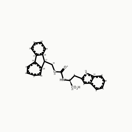 O=C(N[C@@H](Cc1cc2ccccc2s1)C(=O)O)OCC1c2ccccc2-c2ccccc21